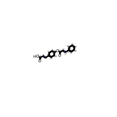 O=C(O)/C=C/c1ccc(OC(=O)/C=C/c2ccccc2)cc1